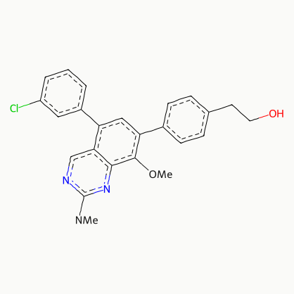 CNc1ncc2c(-c3cccc(Cl)c3)cc(-c3ccc(CCO)cc3)c(OC)c2n1